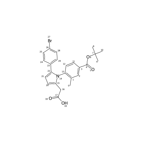 Cc1cc(C(=O)OC(C)(C)C)ccc1-n1c(CC(=O)O)ccc1-c1ccc(Br)cc1